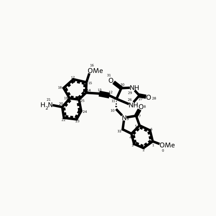 COc1ccc2c(c1)C(=O)N(C[C@@]1(C#Cc3c(OC)ccc4c(N)cccc34)NC(=O)NC1=O)C2